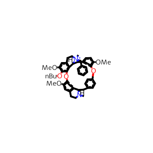 CCCCOc1c(OC)cc2c3c1Oc1cc4c(cc1OC)CCN(C)[C@H]4Cc1ccc(cc1)Oc1cc(ccc1OC)C[C@@H]3[N+](C)(Cc1ccccc1)CC2